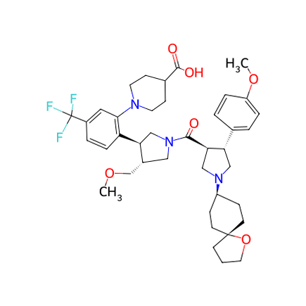 COC[C@H]1CN(C(=O)[C@@H]2CN([C@H]3CC[C@@]4(CCCO4)CC3)C[C@H]2c2ccc(OC)cc2)C[C@@H]1c1ccc(C(F)(F)F)cc1N1CCC(C(=O)O)CC1